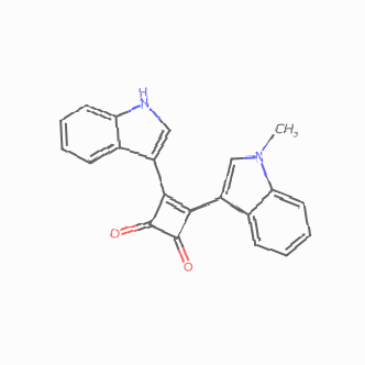 Cn1cc(-c2c(-c3c[nH]c4ccccc34)c(=O)c2=O)c2ccccc21